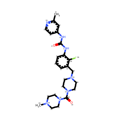 Cc1cc(NC(=O)Nc2cccc(CN3CCN(C(=O)N4CCN(C)CC4)CC3)c2F)ccn1